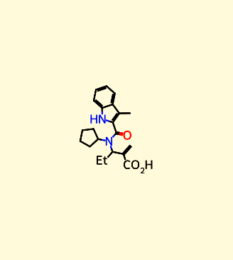 C=C(C(=O)O)C(CC)N(C(=O)c1[nH]c2ccccc2c1C)C1CCCC1